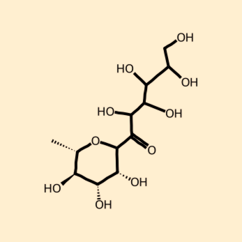 C[C@@H]1OC(C(=O)C(O)C(O)C(O)C(O)CO)[C@H](O)[C@H](O)[C@H]1O